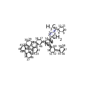 C=C(/C=C\C=C(/C)c1ccccc1)c1cc(-c2cccc(-c3cccc4c3-c3ccccc3C43c4ccccc4-c4ccccc43)c2)nc(-c2cccc(-c3ccccc3)c2)n1